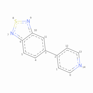 c1cc(-c2ccc3nsnc3c2)ccn1